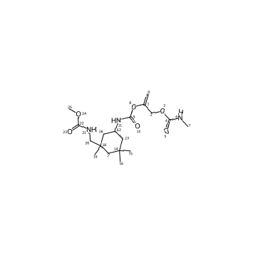 C=C(COC(=O)NC)OC(=O)NC1CC(C)(C)CC(C)(CNC(=O)OC)C1